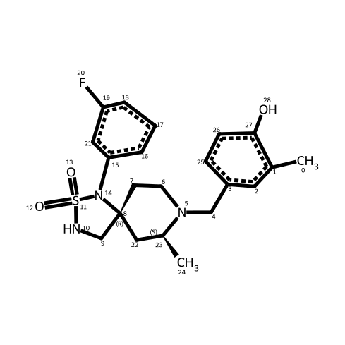 Cc1cc(CN2CC[C@]3(CNS(=O)(=O)N3c3cccc(F)c3)C[C@@H]2C)ccc1O